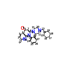 Cc1ccc2c(=O)cc(N3CCN(CC4CCCCC4)CC3)n(-c3ccccc3)c2n1